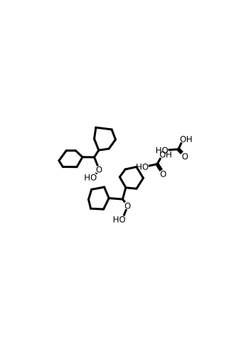 O=C(O)O.O=C(O)O.OOC(C1CCCCC1)C1CCCCC1.OOC(C1CCCCC1)C1CCCCC1